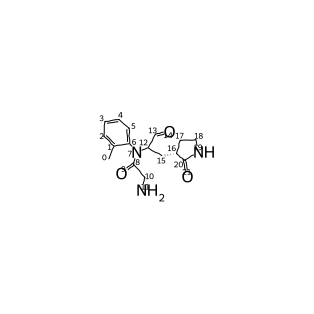 Cc1ccccc1N(C(=O)CN)C(C=O)C[C@@H]1CCNC1=O